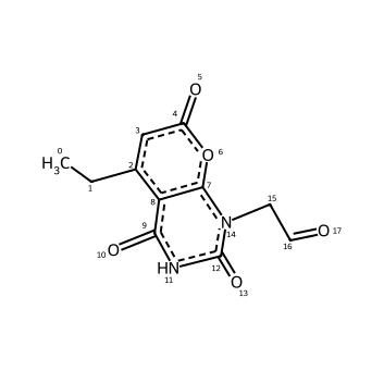 CCc1cc(=O)oc2c1c(=O)[nH]c(=O)n2CC=O